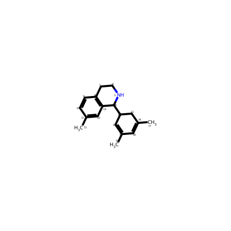 CC1=CC(C2NCCc3ccc(C)cc32)CC(C)=C1